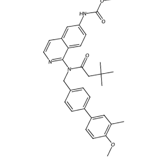 COC(=O)Nc1ccc2c(N(Cc3ccc(-c4ccc(OC)c(C)c4)cc3)C(=O)CC(C)(C)C)nccc2c1